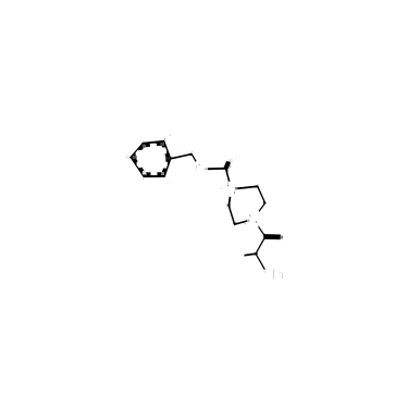 CCCC(CCC)C(=O)N1CCN(C(=O)OCc2ccccc2)CC1